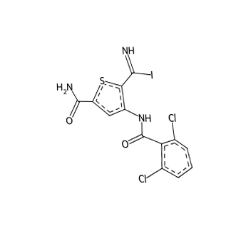 N=C(I)c1sc(C(N)=O)cc1NC(=O)c1c(Cl)cccc1Cl